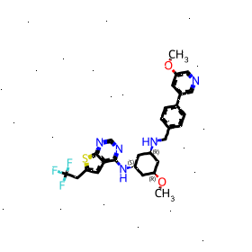 COc1cncc(-c2ccc(CN[C@@H]3C[C@H](Nc4ncnc5sc(CC(F)(F)F)cc45)C[C@H](OC)C3)cc2)c1